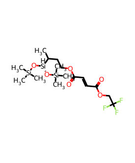 CC(CCOC(=O)/C=C/C(=O)OCC(F)(F)F)[SiH](O[Si](C)(C)C)O[Si](C)(C)C